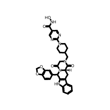 O=C(NO)c1cnc(N2CCC(CN3CC(=O)N4C(c5ccc6c(c5)OCO6)c5[nH]c6ccccc6c5C[C@H]4C3=O)CC2)nc1